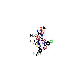 C=C[C@@H]1C[C@]1(NC(=O)[C@@H]1C[C@@H](Oc2ncc(OC)c3ccc(Cl)cc23)CN1C(=O)[C@@H](Nc1nc(-c2cc(C)c(Cl)cc2F)cs1)C(=C)C)C(=O)NS(=O)(=O)C1CC1